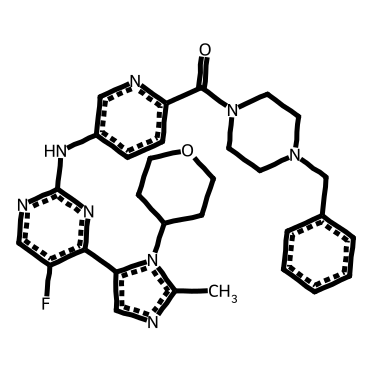 Cc1ncc(-c2nc(Nc3ccc(C(=O)N4CCN(Cc5ccccc5)CC4)nc3)ncc2F)n1C1CCOCC1